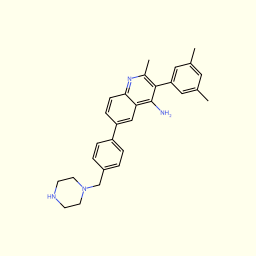 Cc1cc(C)cc(-c2c(C)nc3ccc(-c4ccc(CN5CCNCC5)cc4)cc3c2N)c1